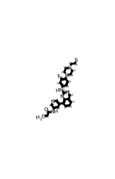 C=CC(=O)Nc1cncc(-c2cccc3cnc(Nc4ccc(N5CCN(CCF)CC5)c(F)c4)nc23)c1